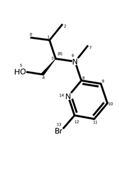 CC(C)[C@H](CO)N(C)c1cccc(Br)n1